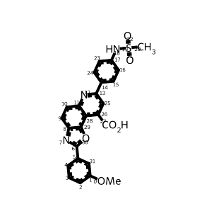 COc1cccc(-c2nc3ccc4nc(-c5ccc(NS(C)(=O)=O)cc5)cc(C(=O)O)c4c3o2)c1